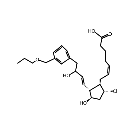 CCCOCc1cccc(CC(O)/C=C/[C@@H]2[C@@H](C/C=C\CCCC(=O)O)[C@H](Cl)C[C@H]2O)c1